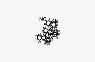 N#Cc1cc(C#N)cc(-c2ccc(-n3c4ccccc4c4ccccc43)c(-n3c4ccccc4c4ccccc43)c2-n2c3ccccc3c3ccccc32)c1